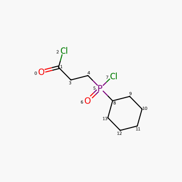 O=C(Cl)CCP(=O)(Cl)C1CCCCC1